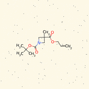 C=CCOC(=O)C1(C)CN(C(=O)OC(C)(C)C)C1